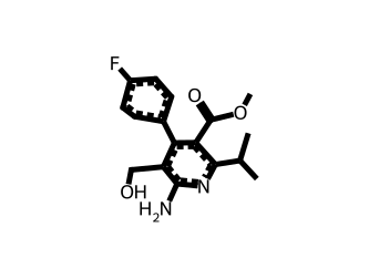 COC(=O)c1c(C(C)C)nc(N)c(CO)c1-c1ccc(F)cc1